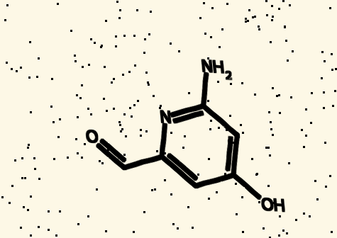 Nc1cc(O)cc(C=O)n1